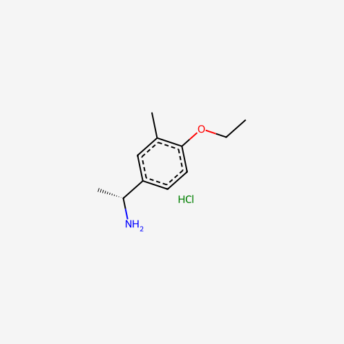 CCOc1ccc([C@@H](C)N)cc1C.Cl